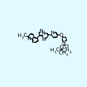 Cc1ccc2c(-c3cnn4cc(-c5ccc(O[C@H]6CCN(C(=O)OC(C)(C)C)C6)cn5)cnc34)cccc2n1